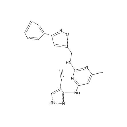 C#Cc1c[nH]nc1Nc1cc(C)nc(NCc2cc(-c3ccccc3)no2)n1